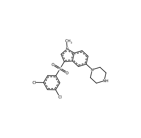 Cn1cc(S(=O)(=O)c2cc(Cl)cc(Cl)c2)c2cc(N3CCNCC3)ccc21